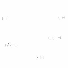 CCCCCCCCCCC(C)C(=O)O.Oc1ccc(O)cc1